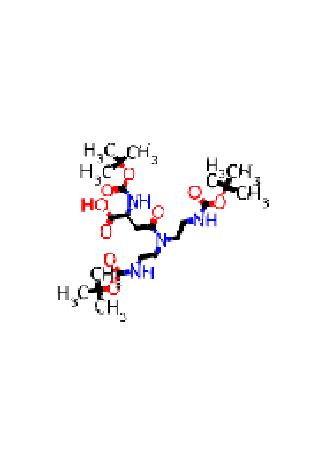 CC(C)(C)OC(=O)NCCN(CCNC(=O)OC(C)(C)C)C(=O)C[C@H](NC(=O)OC(C)(C)C)C(=O)O